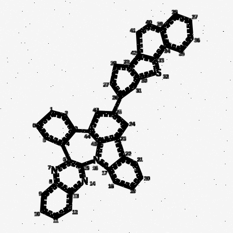 c1ccc2c(c1)-c1nc3ccccc3nc1-n1c3ccccc3c3cc(-c4ccc5c(c4)sc4c6ccccc6ccc54)cc-2c31